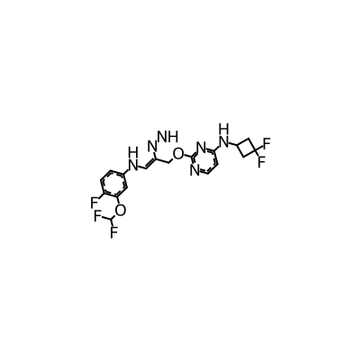 N=N/C(=C\Nc1ccc(F)c(OC(F)F)c1)COc1nccc(NC2CC(F)(F)C2)n1